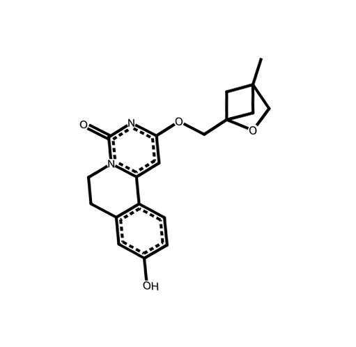 CC12COC(COc3cc4n(c(=O)n3)CCc3cc(O)ccc3-4)(C1)C2